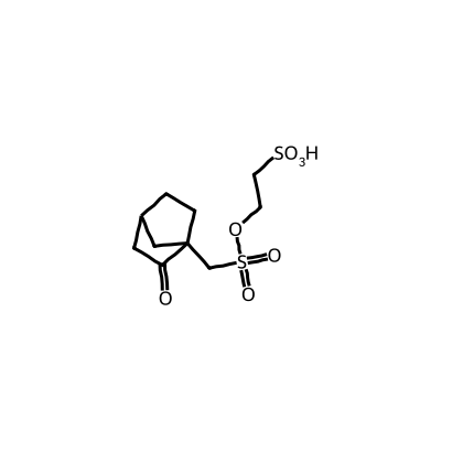 O=C1CC2CCC1(CS(=O)(=O)OCCS(=O)(=O)O)C2